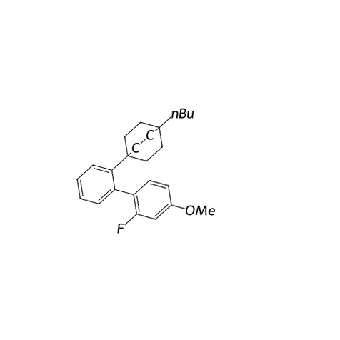 CCCCC12CCC(c3ccccc3-c3ccc(OC)cc3F)(CC1)CC2